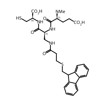 CN[C@@H](CCC(=O)O)C(=O)N[C@@H](CNC(=O)CCSCC1c2ccccc2-c2ccccc21)C(=O)N[C@@H](CS)C(=O)O